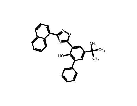 CC(C)(C)c1cc(-c2ccccc2)c(O)c(-c2nc(-c3cccc4ccccc34)no2)c1